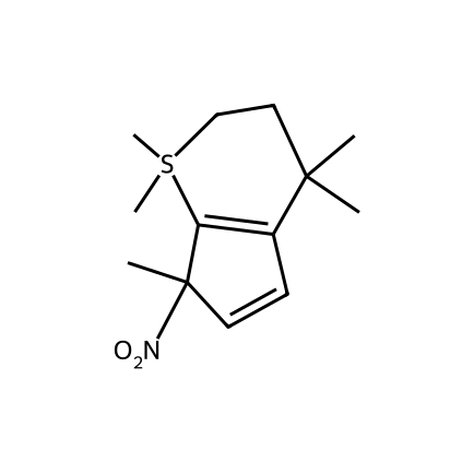 CC1(C)CCS(C)(C)C2=C1C=CC2(C)[N+](=O)[O-]